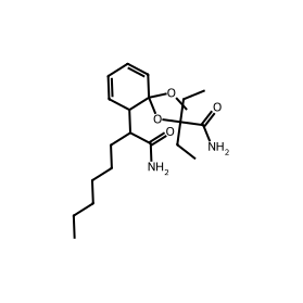 CCCCCCC(C(N)=O)C1C=CC=CC1(OC)OC(CC)(CC)C(N)=O